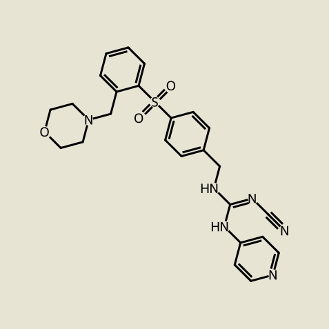 N#CN=C(NCc1ccc(S(=O)(=O)c2ccccc2CN2CCOCC2)cc1)Nc1ccncc1